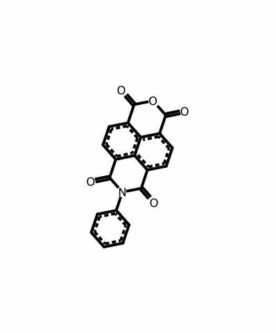 O=C1OC(=O)c2ccc3c4c(ccc1c24)C(=O)N(c1ccccc1)C3=O